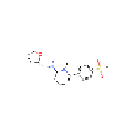 CN(CC1CCCO1)C1CCCC(c2ccc(S(C)(=O)=O)cc2)N1C